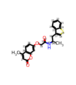 Cc1cc(=O)oc2cc(OCC(=O)N[C@H](C)Cc3csc4ccccc34)ccc12